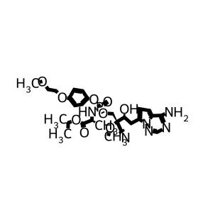 COCCOc1ccc(OP(=O)(N[C@@H](C)C(=O)OC(C)C)OC[C@@](C#N)(OC)[C@@H](O)Cc2ccc3c(N)ncnn23)cc1